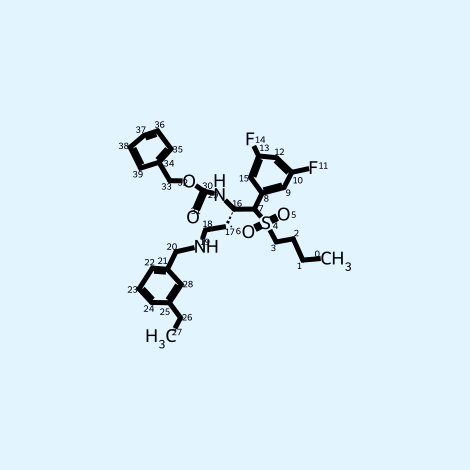 CCCCS(=O)(=O)C(c1cc(F)cc(F)c1)[C@H]([CH]CNCc1cccc(CC)c1)NC(=O)OCc1ccccc1